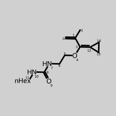 C=C(C)C(OCCNC(=O)NCCCCCC)=C1CC1